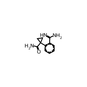 N=C(N)c1ccccc1C1(C(N)=O)CC1